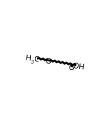 CCCCCCOCCCCCCCCCCCC(=O)CO